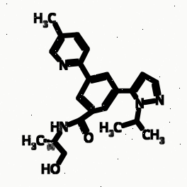 Cc1ccc(-c2cc(C(=O)N[C@@H](C)CO)cc(-c3ccnn3C(C)C)c2)nc1